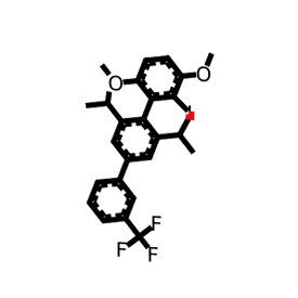 COc1ccc(OC)c(-c2c(C(C)C)cc(-c3cccc(C(F)(F)F)c3)cc2C(C)C)c1I